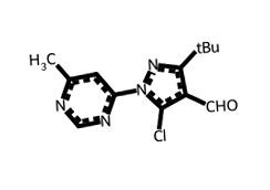 Cc1cc(-n2nc(C(C)(C)C)c(C=O)c2Cl)ncn1